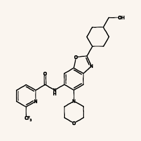 O=C(Nc1cc2oc(C3CCC(CO)CC3)nc2cc1N1CCOCC1)c1cccc(C(F)(F)F)n1